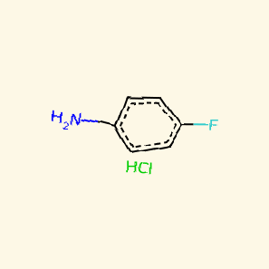 Cl.Nc1ccc(F)cc1